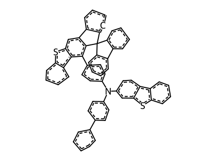 c1ccc(-c2ccc(N(c3ccc(-c4c5c(cc6sc7ccccc7c46)-c4ccccc4C54c5ccccc5-c5ccccc54)cc3)c3ccc4c(c3)sc3ccccc34)cc2)cc1